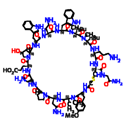 CCCC[C@H]1C(=O)N(C)[C@@H](CCCC)C(=O)N[C@@H](CCCN)C(=O)N[C@H](C(=O)NCC(N)=O)CSCC(=O)N[C@@H](Cc2ccc(OC)cc2)C(=O)N(C)[C@@H](C)C(=O)N[C@@H](CC(N)=O)C(=O)N2CCC[C@H]2C(=O)N[C@@H](CN)C(=O)N[C@@H](CCC(=O)O)C(=O)N2C[C@H](O)C[C@H]2C(=O)N[C@@H](Cc2c[nH]c3ccccc23)C(=O)N[C@@H](CCN)C(=O)N[C@@H](Cc2c[nH]c3ccccc23)C(=O)N1C